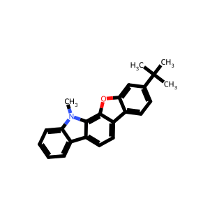 Cn1c2ccccc2c2ccc3c4ccc(C(C)(C)C)cc4oc3c21